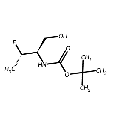 C[C@H](F)[C@@H](CO)NC(=O)OC(C)(C)C